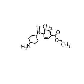 CCOC(=O)c1ccc(NC2CCC(N)CC2)c(C)c1